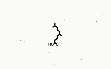 CC(C)CCCC(C)CCCC(=O)O